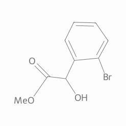 COC(=O)C(O)c1ccccc1Br